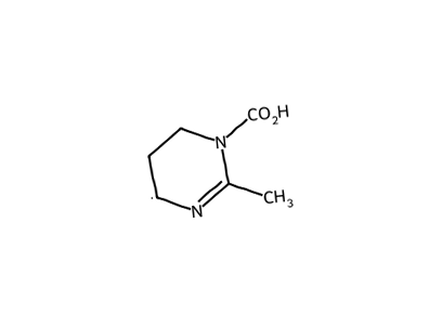 CC1=N[CH]CCN1C(=O)O